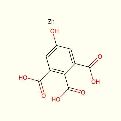 O=C(O)c1cc(O)cc(C(=O)O)c1C(=O)O.[Zn]